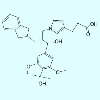 COc1cc([C@@H](O)[C@H](CC2Cc3ccccc3C2)Cn2ccc(CCC(=O)O)c2)cc(OC)c1C(C)(C)O